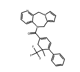 CC1(C(F)(F)F)CC(C(=O)N2Cc3cccn3Cc3ncccc32)=CC=C1c1ccccc1